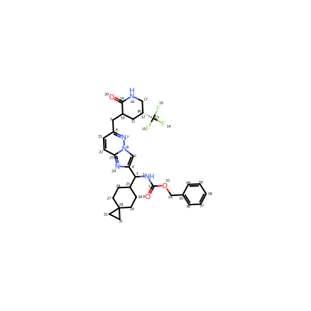 O=C(NC(c1cn2nc(CC3C[C@@H](C(F)(F)F)CNC3=O)ccc2n1)C1CCC2(CC1)CC2)OCc1ccccc1